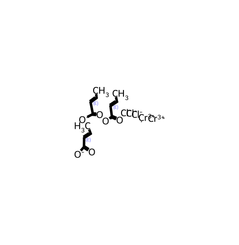 C/C=C/C(=O)[O-].C/C=C/C(=O)[O-].C/C=C/C(=O)[O-].[Cl-].[Cl-].[Cl-].[Cr+3].[Cr+3]